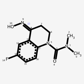 CN(C)C(=O)N1CC/C(=N/O)c2cc(F)ccc21